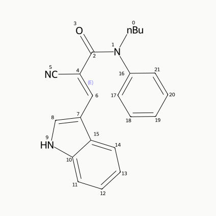 CCCCN(C(=O)/C(C#N)=C/c1c[nH]c2ccccc12)c1ccccc1